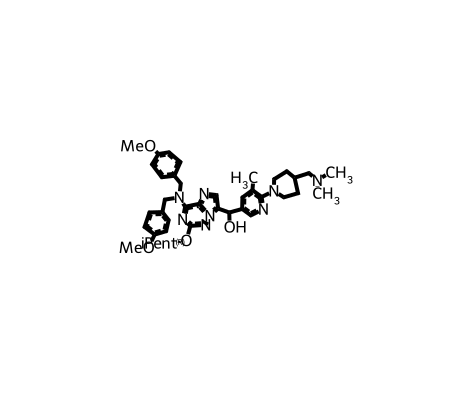 CCC[C@@H](C)Oc1nc(N(Cc2ccc(OC)cc2)Cc2ccc(OC)cc2)c2ncc(C(O)c3cnc(N4CCC(CN(C)C)CC4)c(C)c3)n2n1